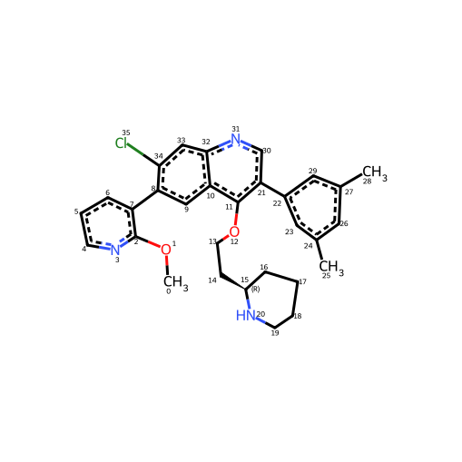 COc1ncccc1-c1cc2c(OCC[C@H]3CCCCN3)c(-c3cc(C)cc(C)c3)cnc2cc1Cl